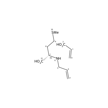 C=CC(=O)O.C=CCN[C@@H](CCSC)C(=O)O